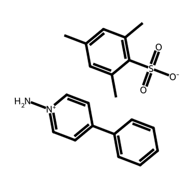 Cc1cc(C)c(S(=O)(=O)[O-])c(C)c1.N[n+]1ccc(-c2ccccc2)cc1